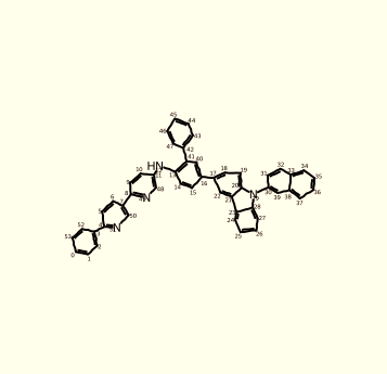 c1ccc(-c2ccc(-c3ccc(Nc4ccc(-c5ccc6c(c5)c5ccccc5n6-c5ccc6ccccc6c5)cc4-c4ccccc4)cn3)cn2)cc1